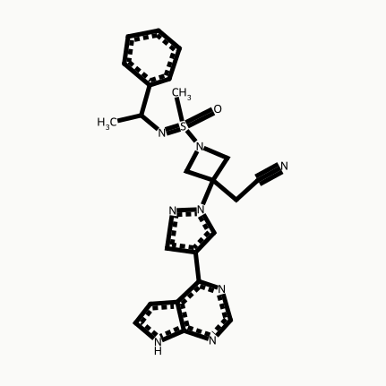 CC(N=S(C)(=O)N1CC(CC#N)(n2cc(-c3ncnc4[nH]ccc34)cn2)C1)c1ccccc1